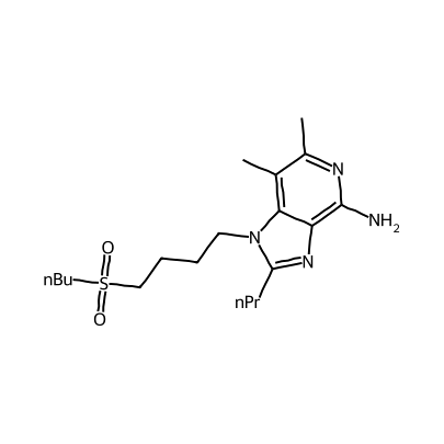 CCCCS(=O)(=O)CCCCn1c(CCC)nc2c(N)nc(C)c(C)c21